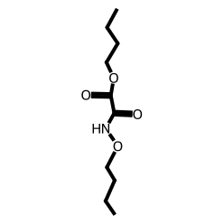 CCCCONC(=O)C(=O)OCCCC